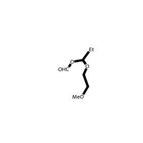 CCC(O[C]=O)OCCOC